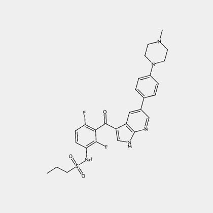 CCCS(=O)(=O)Nc1ccc(F)c(C(=O)c2c[nH]c3ncc(-c4ccc(N5CCN(C)CC5)cc4)cc23)c1F